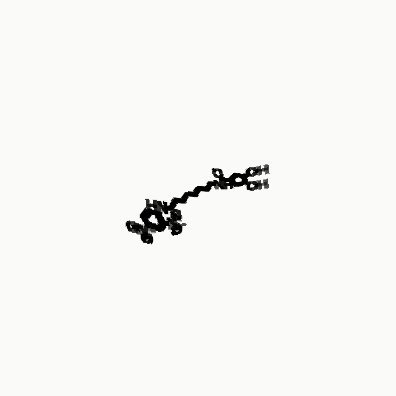 O=C(NCCCCCCCCNc1ccc([N+](=O)[O-])cc1[N+](=O)[O-])C1CC(O)C(O)C1